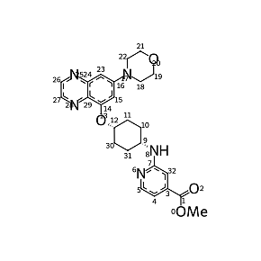 COC(=O)c1ccnc(N[C@H]2CC[C@@H](Oc3cc(N4CCOCC4)cc4nccnc34)CC2)c1